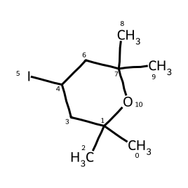 CC1(C)CC(I)CC(C)(C)O1